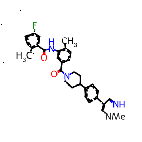 CN/C=C(\C=N)c1ccc(C2CCN(C(=O)c3ccc(C)c(NC(=O)c4cc(F)ccc4C)c3)CC2)cc1